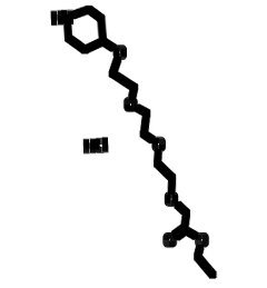 CCOC(=O)COCCOCCOCCOC1CCNCC1.Cl